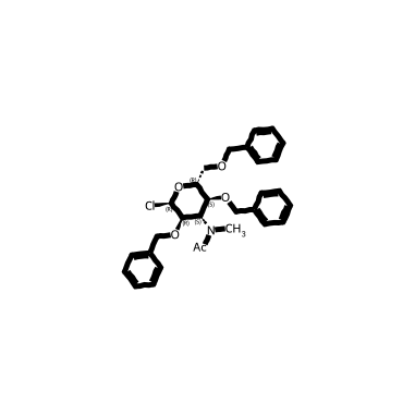 CC(=O)N(C)[C@@H]1[C@@H](OCc2ccccc2)[C@@H](Cl)O[C@H](COCc2ccccc2)[C@H]1OCc1ccccc1